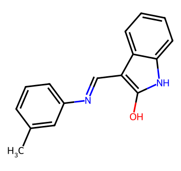 Cc1cccc(N=Cc2c(O)[nH]c3ccccc23)c1